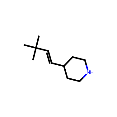 CC(C)(C)/C=C/C1CCNCC1